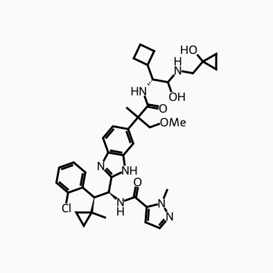 COCC(C)(C(=O)N[C@H](C1CCC1)C(O)NCC1(O)CC1)c1ccc2nc([C@@H](NC(=O)c3ccnn3C)[C@H](c3ccccc3Cl)C3(C)CC3)[nH]c2c1